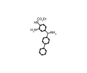 CCOC(=O)Nc1ccc(C(N)c2ccc(-c3ccccc3)cc2)cc1N